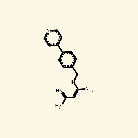 CC(=N)/C=C(/N)NCc1ccc(-c2ccncc2)cc1